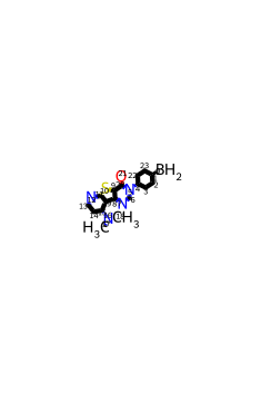 Bc1ccc(-n2cnc3c(sc4nccc(N(C)C)c43)c2=O)cc1